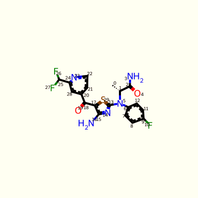 C[C@H](C(N)=O)N(c1ccc(F)cc1)c1nc(N)c(C(=O)c2ccnc(C(F)F)c2)s1